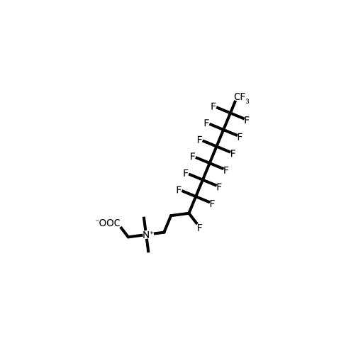 C[N+](C)(CCC(F)C(F)(F)C(F)(F)C(F)(F)C(F)(F)C(F)(F)C(F)(F)C(F)(F)F)CC(=O)[O-]